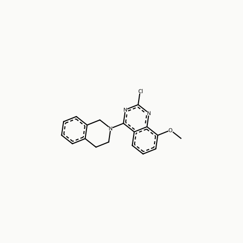 COc1cccc2c(N3CCc4ccccc4C3)nc(Cl)nc12